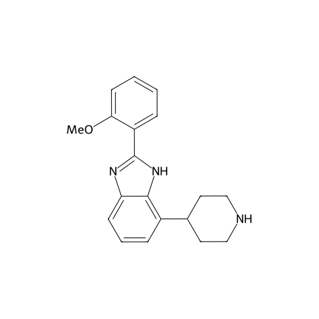 COc1ccccc1-c1nc2cccc(C3CCNCC3)c2[nH]1